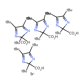 CC(C)(C)C1=NC(C(=O)O)(C(C)(C)C)N=C1C(C)(C)C.CC(C)(C)C1=NC(C(=O)O)(C(C)(C)C)N=C1C(C)(C)C.CC(C)(C)C1=NC(C(=O)O)(C(C)(C)C)N=C1C(C)(C)C.CC(C)(C)C1=NC(C(=O)O)(C(C)(C)C)N=C1C(C)(C)C.[Sr]